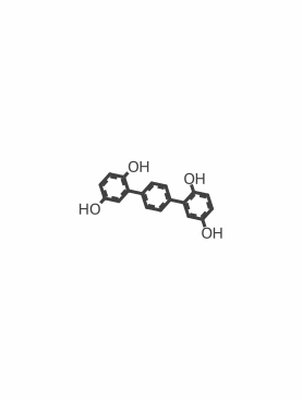 Oc1ccc(O)c(-c2ccc(-c3cc(O)ccc3O)cc2)c1